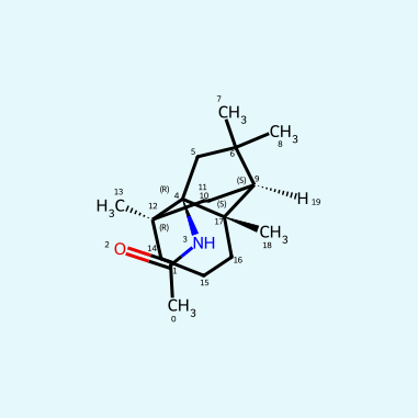 CC(=O)N[C@]12CC(C)(C)[C@@H]3CC[C@@]1(C)CCC[C@@]32C